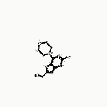 OCc1cc2nc(Cl)nc(N3CCOCC3)c2o1